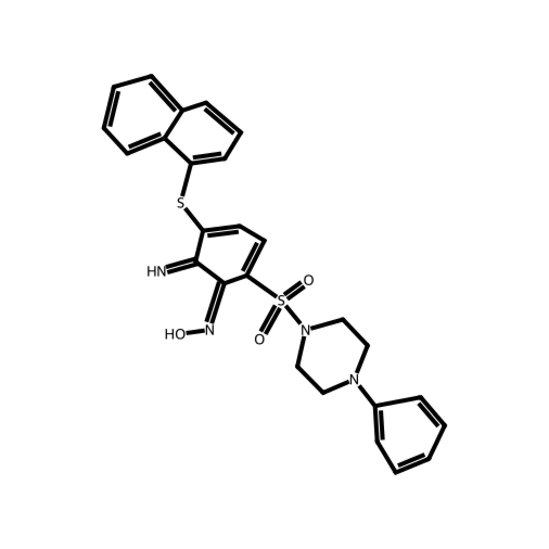 N=C1C(Sc2cccc3ccccc23)=CC=C(S(=O)(=O)N2CCN(c3ccccc3)CC2)/C1=N/O